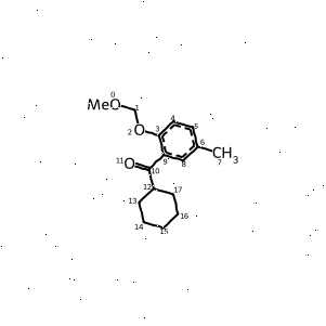 COCOc1ccc(C)cc1C(=O)C1CCCCC1